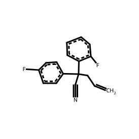 C=CCC(C#N)(c1ccc(F)cc1)c1ccccc1F